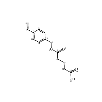 C=Cc1ccc(COC(=O)CCCC(=O)O)cc1